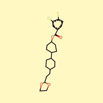 O=C(OC1CCC(C2CCC(CCC3OCCO3)CC2)CC1)c1ccc(F)c(F)c1